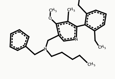 CCCCCN(Cc1ccccc1)Cc1cnc(-c2c(CC)cccc2CC)c(C)c1OC